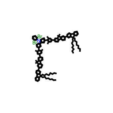 CCCCCCCCC1(CCCCCCCC)c2ccccc2-c2ccc(-c3ccc4c(c3)C(C)(C)c3cc(-c5cc(C)c(-c6ccc7c(c6)c6cc(-c8c(C)cc(-c9ccc%10c(c9)C(C)(C)c9cc(-c%11ccc%12c(c%11)C(CCCCCCCC)(CCCCCCCC)c%11ccccc%11-%12)ccc9-%10)cc8C)ccc6n7-c6c(Br)cccc6Br)c(C)c5)ccc3-4)cc21